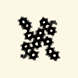 CN1c2ccccc2N(c2ccc3c(C4=CC=CC(c5ccc6ccccc6c5)C4)c4c(c(-c5cccc(C6C=Cc7ccccc7C6)c5)c3c2)=CCC(N2c3ccccc3N(C)c3ccccc32)C=4)c2ccccc21